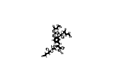 CCCCC(=O)OCCN[C@@H](Cc1ccc(OC(=O)OC(C)CCC)c(OC(=O)OC(C)CCC)c1)C(=O)OC